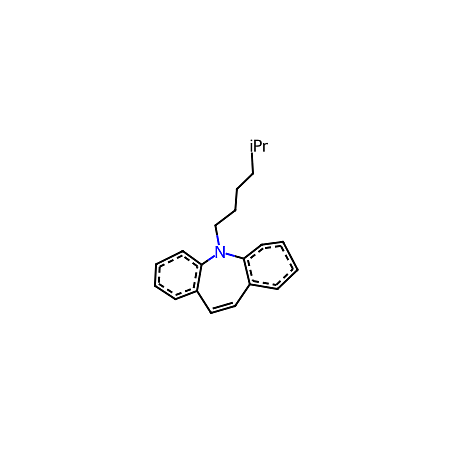 CC(C)CCCCN1c2ccccc2C=Cc2ccccc21